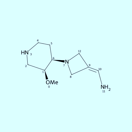 CO[C@H]1CNCC[C@H]1N1CC(=CN)C1